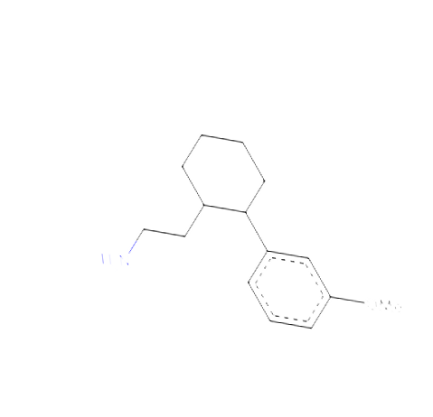 COc1cccc(C2CCCCC2CCN)c1